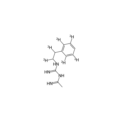 [2H]c1cc([2H])c([2H])c(C([2H])C([2H])NC(=N)NC(C)=N)c1[2H]